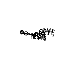 CCC(CC(=O)O)(c1cc(CO)c(C)c(OC)c1)c1ccc2c(nnn2CCCCOCc2ccccc2)c1C